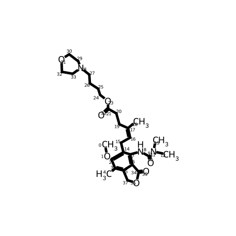 COc1c(C)c2c(c(NC(=O)N(C)C)c1CC=C(C)CCC(=O)OCCCCN1CCOCC1)C(=O)OC2